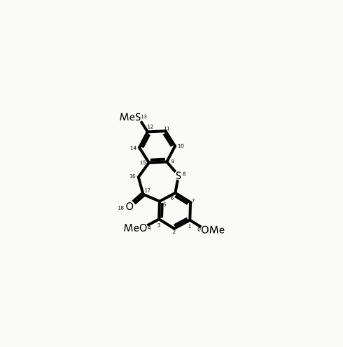 COc1cc(OC)c2c(c1)Sc1ccc(SC)cc1CC2=O